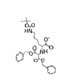 COC(=O)C(CCCCNC(=O)OC(C)(C)C)NC(C(=O)OCc1ccccc1)C(=O)OCc1ccccc1